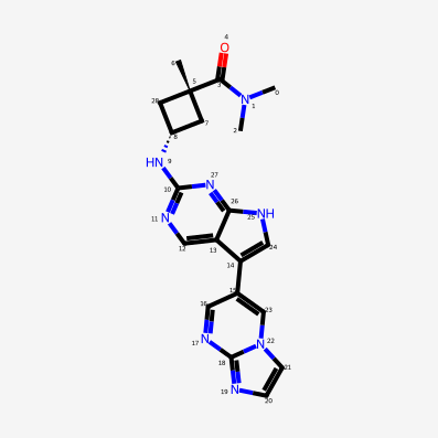 CN(C)C(=O)[C@]1(C)C[C@H](Nc2ncc3c(-c4cnc5nccn5c4)c[nH]c3n2)C1